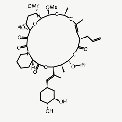 C=CC[C@@H]1/C=C(\C)C[C@H](C)C[C@H](OC)[C@H]2O[C@@](O)(C(=O)C(=O)N3CCCC[C@H]3C(=O)O[C@H](/C(C)=C/[C@@H]3CC[C@@H](O)[C@H](O)C3)[C@H](C)[C@@H](OC(C)C)CC1=O)[C@H](C)C[C@@H]2OC